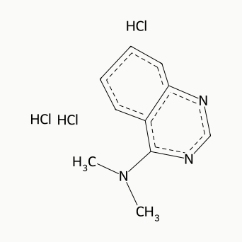 CN(C)c1ncnc2ccccc12.Cl.Cl.Cl